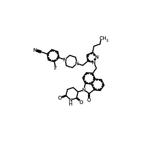 CCCc1cc(CN2CCN(c3ccc(C#N)cc3F)CC2)n(Cc2ccc3c4c(cccc24)C(=O)N3C2CCC(=O)NC2=O)n1